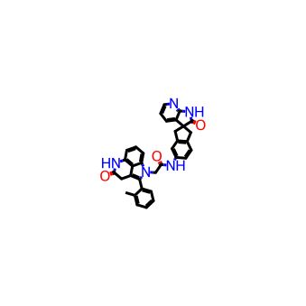 Cc1ccccc1-c1c2c3c(cccc3n1CC(=O)Nc1ccc3c(c1)CC1(C3)C(=O)Nc3ncccc31)NC(=O)C2